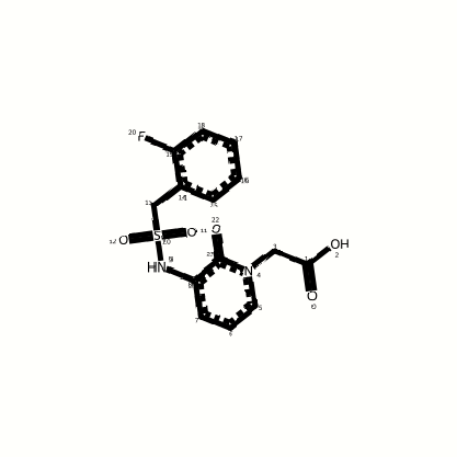 O=C(O)Cn1cccc(NS(=O)(=O)Cc2ccccc2F)c1=O